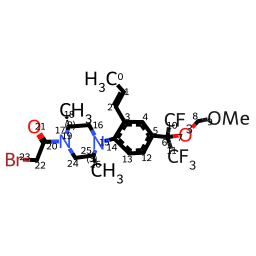 CC=Cc1cc(C(OCOC)(C(F)(F)F)C(F)(F)F)ccc1N1C[C@@H](C)N(C(=O)CBr)C[C@@H]1C